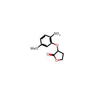 COc1ccc([N+](=O)[O-])c(OC2CCOC2=O)c1